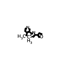 CC(C)c1ccncc1-c1nc(-c2ccoc2)cs1